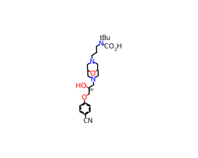 CC(C)(C)N(CCCN1CC2CN(C[C@H](O)COc3ccc(C#N)cc3)CC(C1)O2)C(=O)O